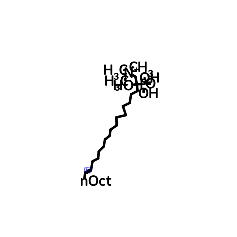 CCCCCCCC/C=C/CCCCCCCCCCCCCCC(O)(C[N+](C)(C)C)P(=O)(O)O